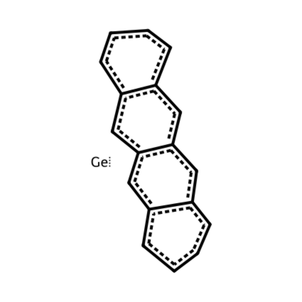 [Ge].c1ccc2cc3cc4ccccc4cc3cc2c1